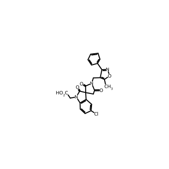 Cc1onc(-c2ccccc2)c1CN1C(=O)CC2(C1=O)C(=O)N(CC(=O)O)c1ccc(Cl)cc12